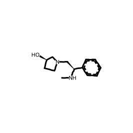 CN[C@@H](CN1CC[C@@H](O)C1)c1ccccc1